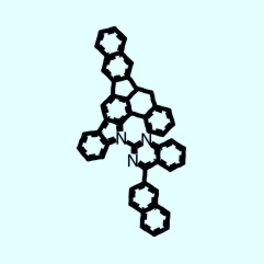 c1ccc2c(c1)CC1c3cc4ccccc4cc3-c3cc4c5ccccc5n(-c5nc(-c6ccc7ccccc7c6)c6ccccc6n5)c4c-2c31